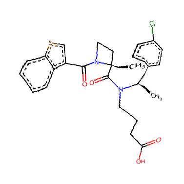 C[C@H](c1ccc(Cl)cc1)N(CCCC(=O)O)C(=O)[C@@]1(C)CCN1C(=O)c1csc2ccccc12